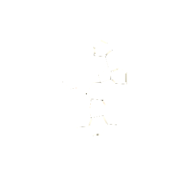 Cc1ccc(C(C)(C)C)c(SC2C(=O)OC(CCc3ccccc3)(c3ccccc3)CC2(O)OCCO)c1